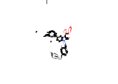 Cc1cccc(-c2ccc3c(c2)C2C(=O)C(=O)OC=C2N3Cc2ccc(C(C)(C)C)cc2)c1